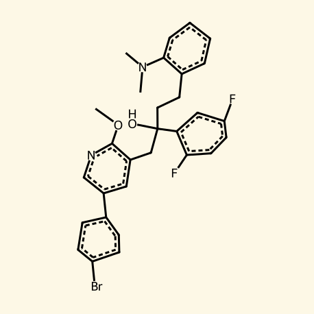 COc1ncc(-c2ccc(Br)cc2)cc1CC(O)(CCc1ccccc1N(C)C)c1cc(F)ccc1F